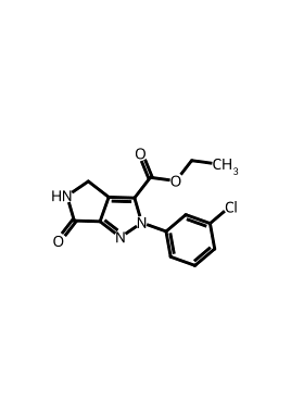 CCOC(=O)c1c2c(nn1-c1cccc(Cl)c1)C(=O)NC2